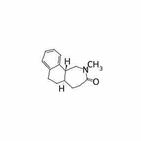 CN1C[C@H]2c3ccccc3CC[C@@H]2CCC1=O